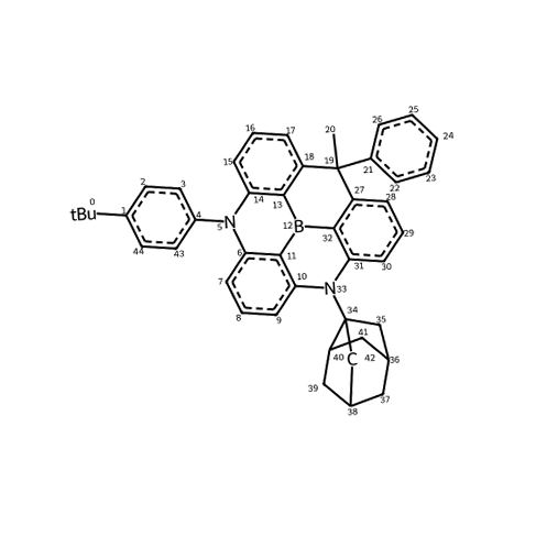 CC(C)(C)c1ccc(N2c3cccc4c3B3c5c2cccc5C(C)(c2ccccc2)c2cccc(c23)N4C23CC4CC(CC2C4)C3)cc1